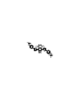 O=[N+]([O-])c1c(-c2ccc(-c3ccc(OC(F)(F)F)cc3)s2)c2c(c(-c3ccc(-c4ccc(OC(F)(F)F)cc4)s3)c1[N+](=O)[O-])N=N2